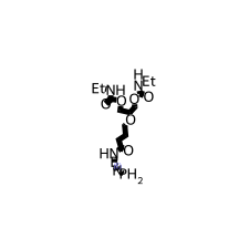 CCNC(=O)OCC(COC(=O)NCC)OCCCC(=O)N/B=N/P